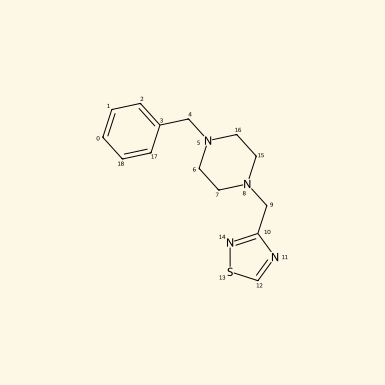 c1ccc(CN2CCN(Cc3ncsn3)CC2)cc1